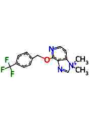 C[N+]1(C)C=Nc2c1ccnc2OCc1ccc(C(F)(F)F)cc1